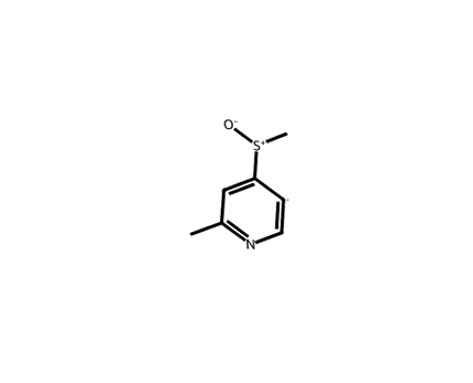 Cc1cc([S+](C)[O-])[c]cn1